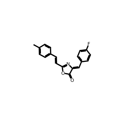 Cc1ccc(/C=C/C2=NC(=C\c3ccc(F)cc3)/C(=O)O2)cc1